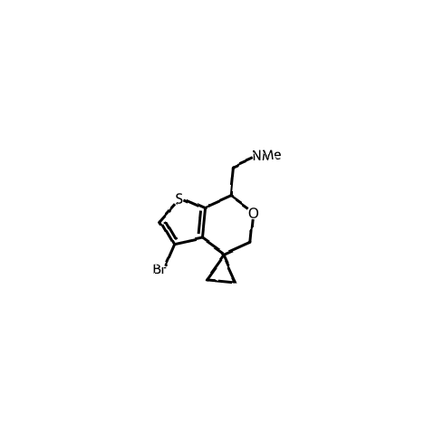 CNCC1OCC2(CC2)c2c(Br)csc21